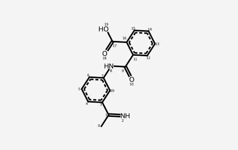 CC(=N)c1cccc(NC(=O)c2ccccc2C(=O)O)c1